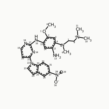 COc1cc(N(C)CCN(C)C)c(N)cc1Nc1nccc(-n2ccc3cc([N+](=O)[O-])ccc32)n1